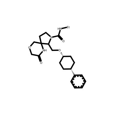 CCNC(=O)N1CCC2(COCC(=O)N2)C1CO[C@H]1CC[C@@H](c2ccccc2)CC1